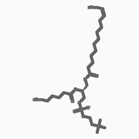 CCCCCC/C=C\CCCCCCCCCC(=O)OC[C@H](COP(=O)([O-])OCC[N+](C)(C)C)OC(=O)CCCCCCCCCCCCCC